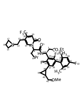 CCOC(=O)C[C@H](NC(=O)C(CC(C)C)n1cc(CCN2CCC2)c(C(F)(F)F)cc1=O)c1c(F)c(-c2c(C)cc(F)cc2C)cc(C2CC2COC)c1F